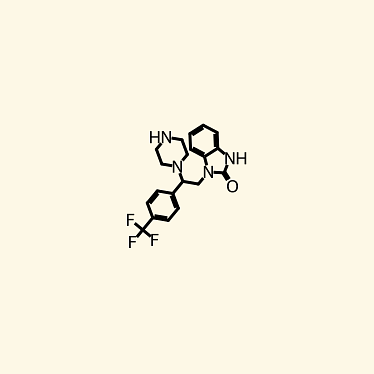 O=c1[nH]c2ccccc2n1CC(c1ccc(C(F)(F)F)cc1)N1CCNCC1